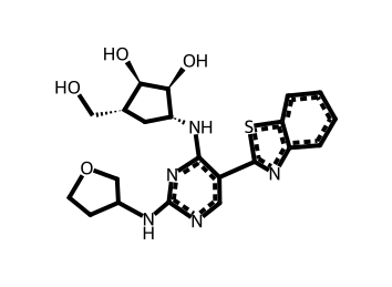 OC[C@H]1C[C@@H](Nc2nc(NC3CCOC3)ncc2-c2nc3ccccc3s2)[C@H](O)[C@@H]1O